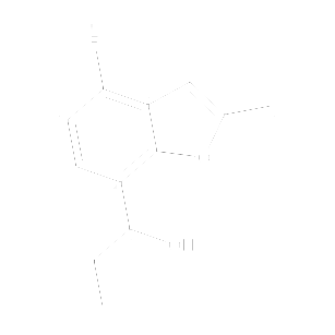 CCC(O)c1ccc(F)c2cc(C)oc12